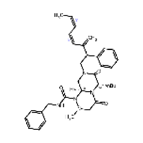 C=C(/C=C\C=C/C)C(CN1C[C@H]2N(C(=O)CN(C)N2C(=O)NCc2ccccc2)[C@@H](CCCC)C1=O)c1ccccc1